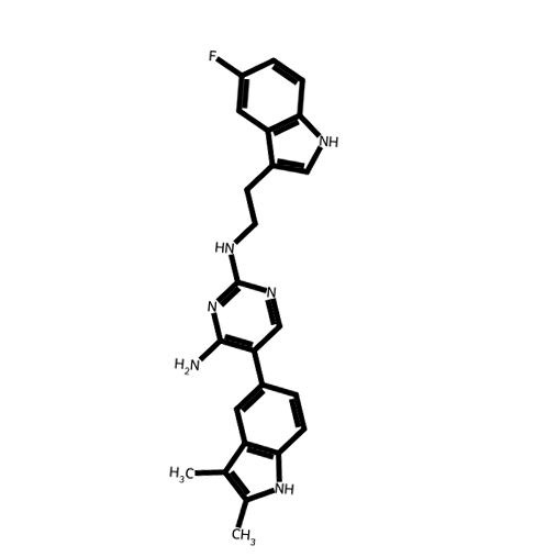 Cc1[nH]c2ccc(-c3cnc(NCCc4c[nH]c5ccc(F)cc45)nc3N)cc2c1C